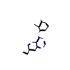 C=Cc1cnc2c(Nc3cccc(Cl)c3C)ncnc2c1